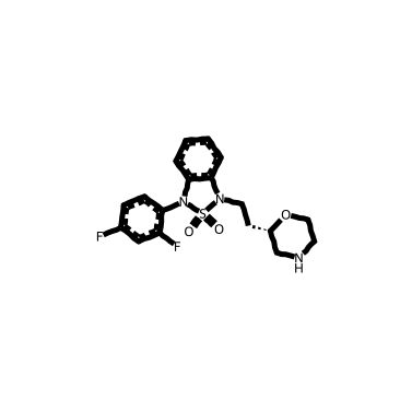 O=S1(=O)N(CC[C@H]2CNCCO2)c2ccccc2N1c1ccc(F)cc1F